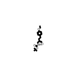 CCOc1ccc(CCC(=CCl)CNC(=O)OC(C)(C)C)cc1